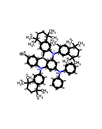 Cc1cc2c(cc1N1c3cc4c(cc3B3c5cc(C(C)(C)C)ccc5N(c5ccc6c(c5)C(C)(C)CCC6(C)C)c5cc(N(c6ccccc6)c6ccccc6)cc1c53)C(C)(C)CCC4(C)C)C(C)(C)CCC2(C)C